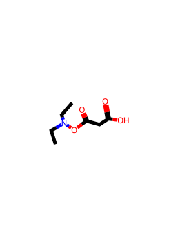 CCN(CC)OC(=O)CC(=O)O